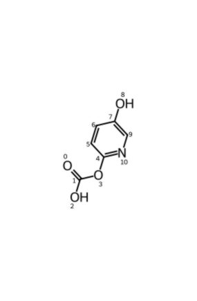 O=C(O)Oc1ccc(O)cn1